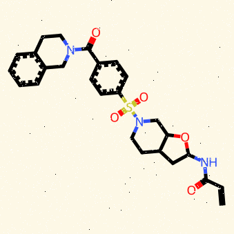 C=CC(=O)NC1CC2CCN(S(=O)(=O)c3ccc(C(=O)N4CCc5ccccc5C4)cc3)CC2O1